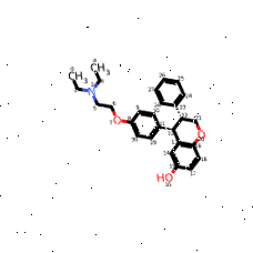 CCN(CC)CCOc1ccc([C@@H]2c3cc(O)ccc3OC[C@H]2c2ccccc2)cc1